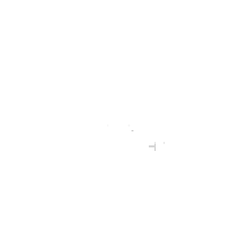 C/C(=N\OC/C=C/Br)c1cc(C)ccc1N